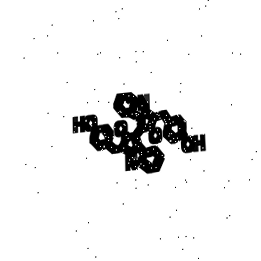 O=C1C(C2=C3C(=Nc4ccccc43)C(Cc3ccc(O)cc3)C2=O)=C2C(=Nc3ccccc32)C1Cc1ccc(O)cc1